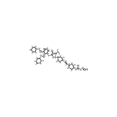 CC(C)N1C(=O)N(Cc2ncnc(OCc3ccccc3)c2OCc2ccccc2)CC1c1ccc(C#Cc2ccc(CNCCO)cc2)cc1